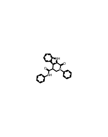 O=C(Nc1ccccc1)C1CN(c2ccccc2)C(=O)c2[nH]c3ccccc3c21